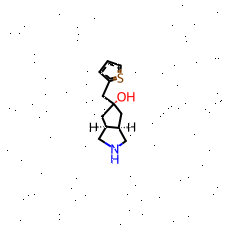 O[C@]1(Cc2cccs2)C[C@H]2CNC[C@H]2C1